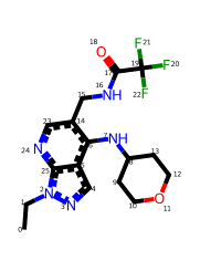 CCn1ncc2c(NC3CCOCC3)c(CNC(=O)C(F)(F)F)cnc21